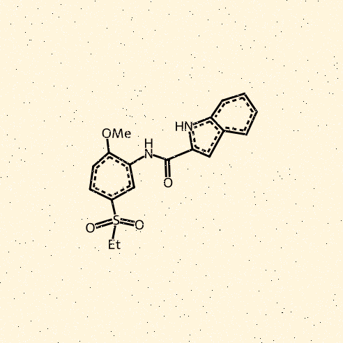 CCS(=O)(=O)c1ccc(OC)c(NC(=O)c2cc3ccccc3[nH]2)c1